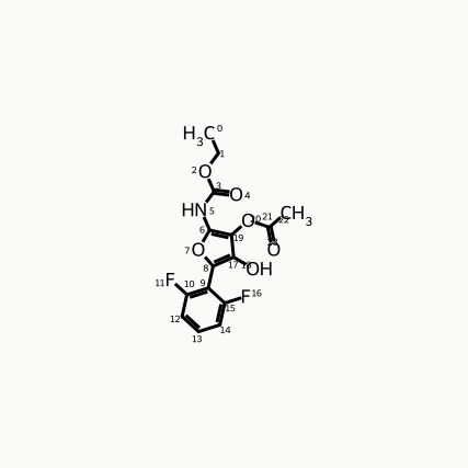 CCOC(=O)Nc1oc(-c2c(F)cccc2F)c(O)c1OC(C)=O